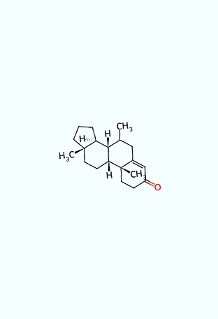 CC1CC2=CC(=O)CC[C@]2(C)[C@@H]2CC[C@]3(C)CCC[C@H]3[C@H]12